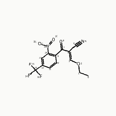 CCOC=C(C#N)C(=O)c1ccc(C(F)(F)F)cc1[N+](=O)[O-]